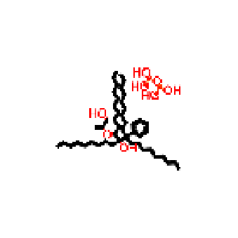 CCCCCCCCCC(OC(C)CO)C(O)(CCCCCCCCC)C(CCCCCCCCC)(CCCCCCCCC)c1ccccc1.OP(O)OP(O)O